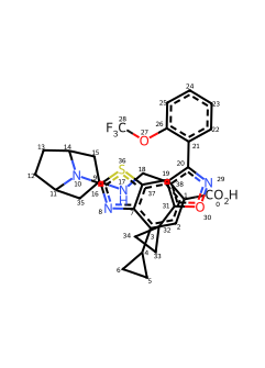 O=C(O)c1cc(C2CC2)c2nc(N3C4CCC3CC(NCc3c(-c5ccccc5OC(F)(F)F)noc3C3CC3)C4)sc2c1